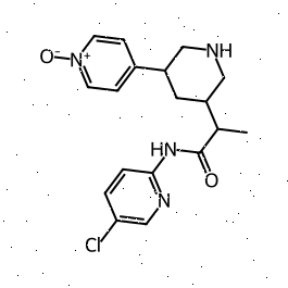 CC(C(=O)Nc1ccc(Cl)cn1)C1CNCC(c2cc[n+]([O-])cc2)C1